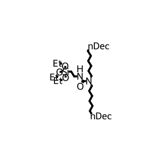 CCCCCCCCCCCCCCCCN(CCCCCCCCCCCCCCCC)C(=O)NCC[Si](OCC)(OCC)OCC